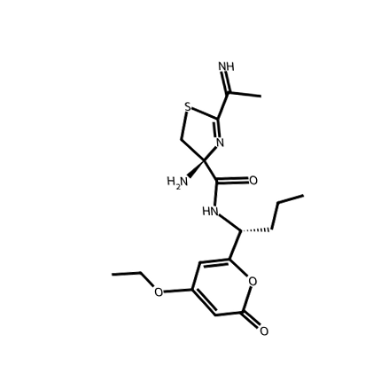 CCC[C@@H](NC(=O)[C@]1(N)CSC(C(C)=N)=N1)c1cc(OCC)cc(=O)o1